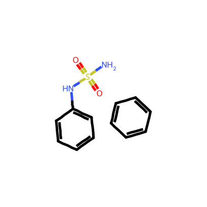 NS(=O)(=O)Nc1ccccc1.c1ccccc1